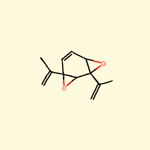 C=C(C)C12C=CC3OC3(C(=C)C)C1O2